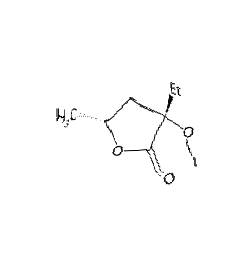 CC[C@]1(OI)C[C@@H](C)OC1=O